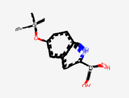 CC(C)(C)[Si](C)(C)Oc1ccc2[nH]c(B(O)O)cc2c1